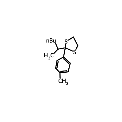 CCCCC(C)C1(c2ccc(C)cc2)SCCS1